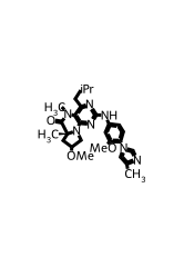 COc1cc(Nc2nc(CC(C)C)c3c(n2)N2CC(OC)C[C@]2(C)C(=O)N3C)ccc1-n1cnc(C)c1